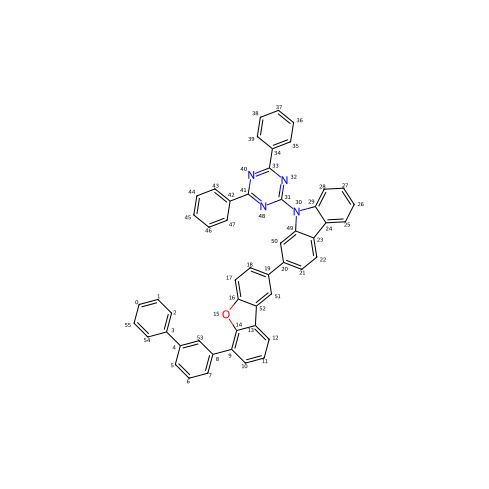 c1ccc(-c2cccc(-c3cccc4c3oc3ccc(-c5ccc6c7ccccc7n(-c7nc(-c8ccccc8)nc(-c8ccccc8)n7)c6c5)cc34)c2)cc1